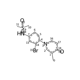 Cc1cn(-c2ccc(N[SH](C)(C)=O)cc2Br)ccc1=O